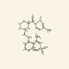 CC1C=C(O)C=CC1C(=O)N1CCC[C@H](COc2cccc3c2C(N)=NS(=O)(=O)N3)C1